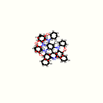 N#Cc1c(N2c3ccccc3Oc3ccccc32)c(-c2cc(-c3ccccc3)nc(-c3ccccc3)c2)c(N2c3ccccc3Oc3ccccc32)c(N2c3ccccc3Oc3ccccc32)c1N1c2ccccc2Oc2ccccc21